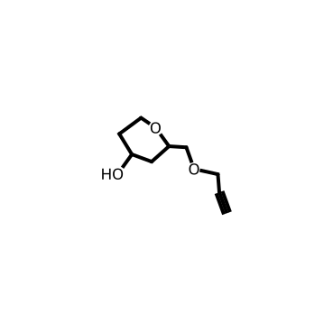 C#CCOCC1CC(O)CCO1